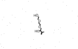 C=C(C)C(O)COCCOCCO